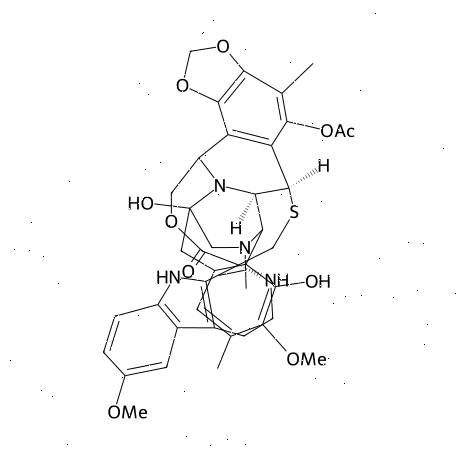 COc1ccc2[nH]c3c(c2c1)CCN[C@]31CS[C@@H]2c3c(OC(C)=O)c(C)c4c(c3C(COC1=O)N1[C@@H]2C2c3c(cc(C)c(OC)c3O)CC1(O)CN2C)OCO4